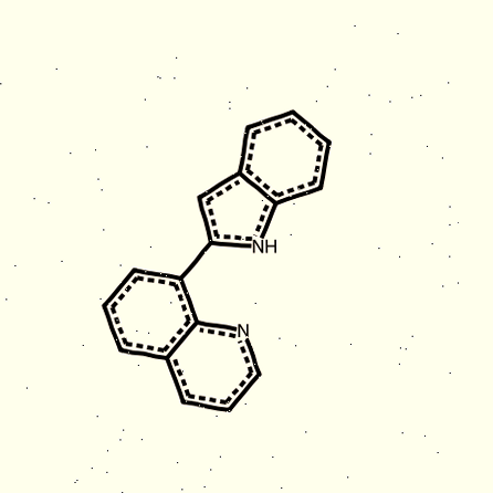 c1ccc2[nH]c(-c3cccc4cccnc34)cc2c1